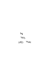 Cl.Cl.I.[NaH]